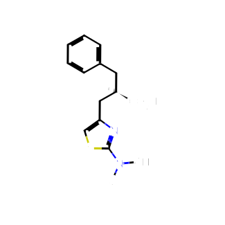 CN(C)c1nc(C[C@@H](Cc2ccccc2)C(=O)O)cs1